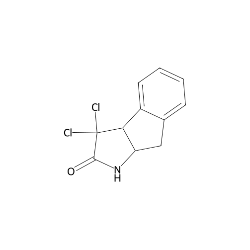 O=C1NC2Cc3ccccc3C2C1(Cl)Cl